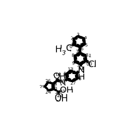 Cc1ccccc1-c1ccc(Nc2ccc(NC(=O)C3=C(C(O)O)CCC3)cc2)c(Cl)c1